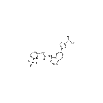 O=C(Nc1cccc(C(F)(F)F)n1)Nc1ccnc2ccc(C3=CCN(C(=O)O)C3)cc12